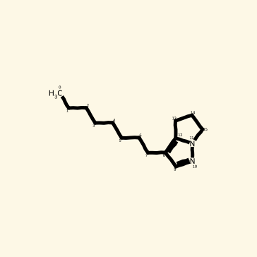 CCCCCCCCc1cnn2c1CCC2